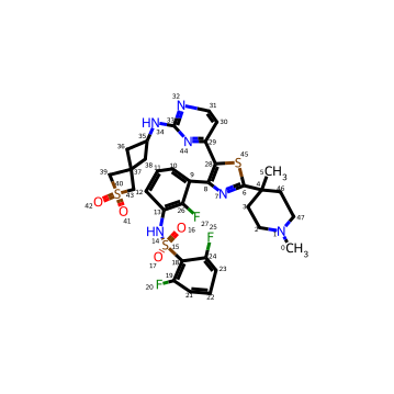 CN1CCC(C)(c2nc(-c3cccc(NS(=O)(=O)c4c(F)cccc4F)c3F)c(-c3ccnc(NC4CC5(C4)CS(=O)(=O)C5)n3)s2)CC1